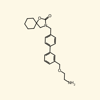 NCCOCc1cccc(-c2ccc(CN3CC4(CCCCC4)OC3=O)cc2)c1